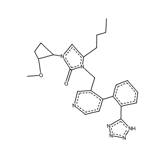 CCCCc1cn(C2CCC2OC)c(=O)n1Cc1cnccc1-c1ccccc1-c1nnn[nH]1